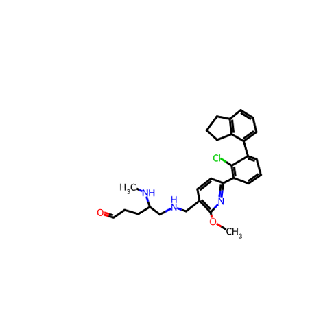 CNC(CCC=O)CNCc1ccc(-c2cccc(-c3cccc4c3CCC4)c2Cl)nc1OC